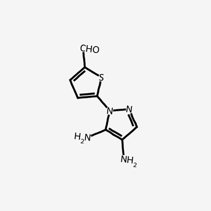 Nc1cnn(-c2ccc(C=O)s2)c1N